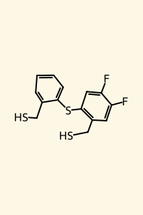 Fc1cc(CS)c(Sc2ccccc2CS)cc1F